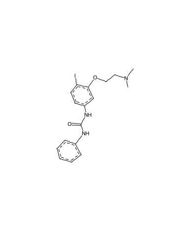 CN(C)CCOc1cc(NC(=O)Nc2ccccc2)ccc1I